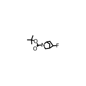 CC(C)(C)OC(=O)N1CC2CC1CC2F